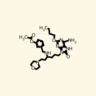 CCCCOc1nc(N)c2[nH]c(=O)n(CCCC(CCN3CCOCC3)NCc3cccc(OC(C)=O)c3)c2n1